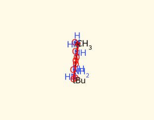 C[C@@H]1NC(=O)N[C@@H]1CCCCCC(=O)NCCCOCCOCCOCCCNC(=O)C(N)CCCCNC(=O)OC(C)(C)C